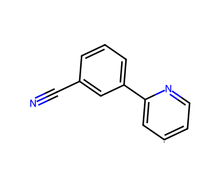 N#Cc1cccc(-c2c[c]ccn2)c1